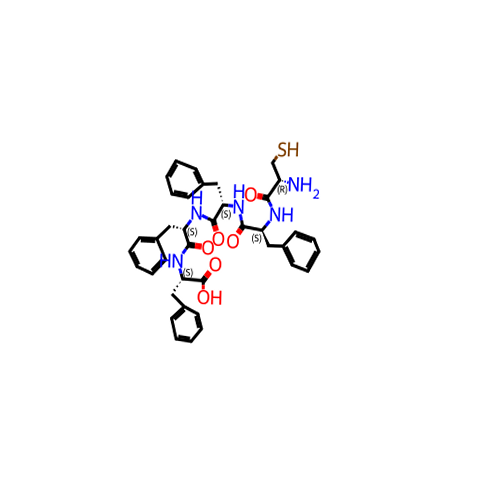 N[C@@H](CS)C(=O)N[C@@H](Cc1ccccc1)C(=O)N[C@@H](Cc1ccccc1)C(=O)N[C@@H](Cc1ccccc1)C(=O)N[C@@H](Cc1ccccc1)C(=O)O